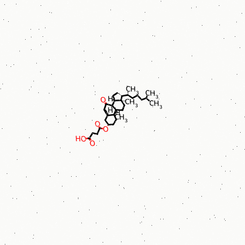 CC(C)CCC[C@@H](C)[C@H]1CC[C@H]2[C@@H]3C(=O)C=C4C[C@@H](OC(=O)CCC(=O)O)CC[C@]4(C)[C@H]3CC[C@]12C